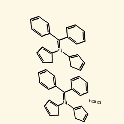 C1=CC[C]([Hf]([C]2=CC=CC2)=[C](c2ccccc2)c2ccccc2)=C1.C1=CC[C]([Hf]([C]2=CC=CC2)=[C](c2ccccc2)c2ccccc2)=C1.Cl.Cl